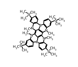 CN1c2cc([Si](C)(C)C)ccc2B2c3ccc([Si](C)(C)C)cc3N(C)c3c2c1c1c2c3N(C)c3cc([Si](C)(C)C)ccc3B2c2ccc([Si](C)(C)C)cc2N1C